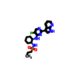 CCCS(=O)(=O)N[C@H]1CCCC[C@H]1Nc1nc(-c2c[nH]c3ncccc23)ncc1F